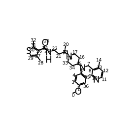 COc1ccc(N(Cc2cnccc2C)C2CCN([C@H](C)CCNC(=O)c3c(C)csc3C)CC2)cc1